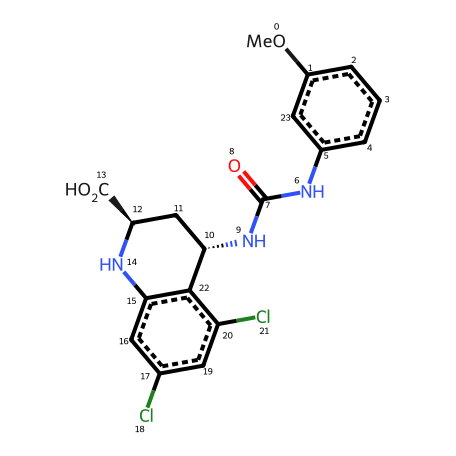 COc1cccc(NC(=O)N[C@H]2C[C@H](C(=O)O)Nc3cc(Cl)cc(Cl)c32)c1